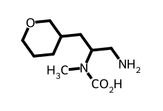 CN(C(=O)O)C(CN)CC1CCCOC1